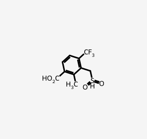 Cc1c(C(=O)O)ccc(C(F)(F)F)c1C[SH](=O)=O